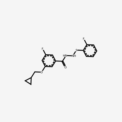 O=C(NNSc1ccccc1F)c1cc(F)cc(OCC2CC2)c1